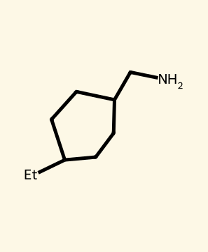 CCC1CCC(CN)CC1